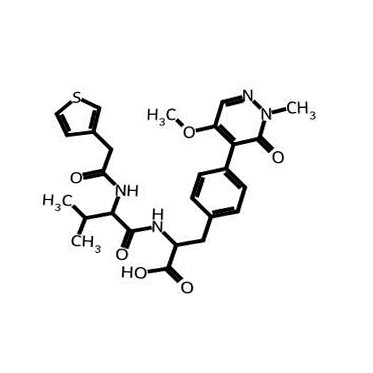 COc1cnn(C)c(=O)c1-c1ccc(CC(NC(=O)C(NC(=O)Cc2ccsc2)C(C)C)C(=O)O)cc1